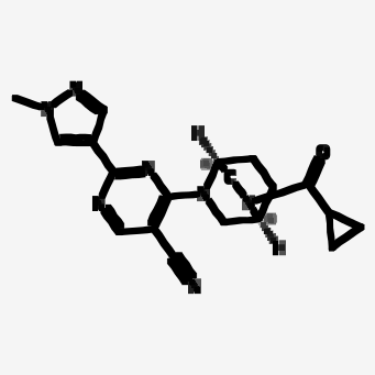 Cn1cc(-c2ncc(C#N)c(N3C[C@@H]4CC[C@H]3CN4C(=O)C3CC3)n2)cn1